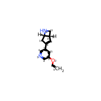 C=COc1cncc(C2=C[C@H]3CN[C@H]3C2)c1